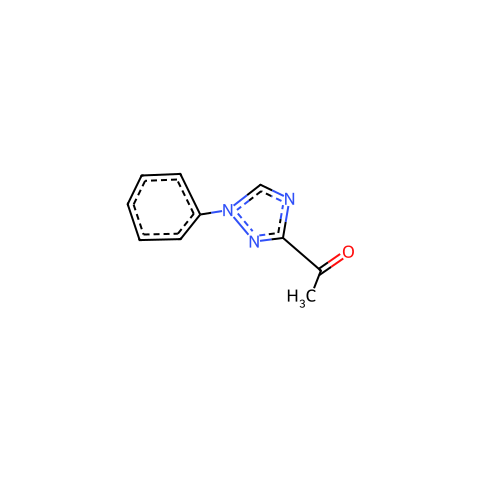 CC(=O)c1ncn(-c2ccccc2)n1